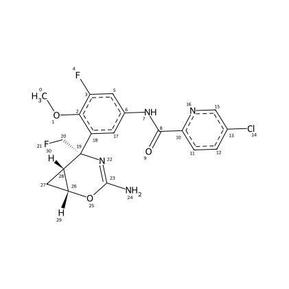 COc1c(F)cc(NC(=O)c2ccc(Cl)cn2)cc1[C@@]1(CF)N=C(N)O[C@@H]2C[C@@H]21